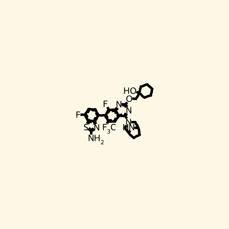 Nc1nc2c(-c3c(C(F)(F)F)cc4c(N5CC6CCC(C5)N6)nc(OCC5(O)CCCCC5)nc4c3F)ccc(F)c2s1